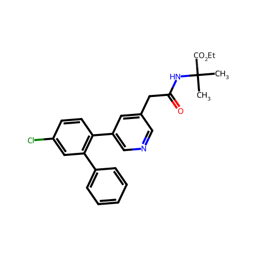 CCOC(=O)C(C)(C)NC(=O)Cc1cncc(-c2ccc(Cl)cc2-c2ccccc2)c1